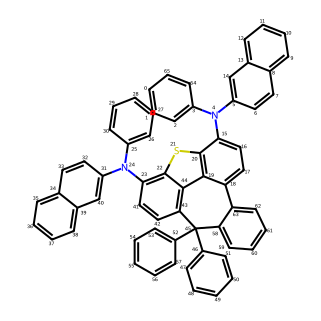 c1ccc(N(c2ccc3ccccc3c2)c2ccc3c4c2sc2c(N(c5ccccc5)c5ccc6ccccc6c5)ccc(c24)C(c2ccccc2)(c2ccccc2)c2ccccc2-3)cc1